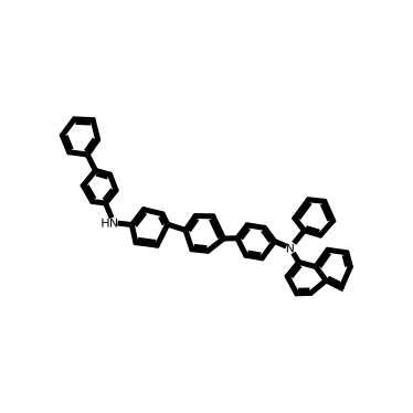 c1ccc(-c2ccc(Nc3ccc(-c4ccc(-c5ccc(N(c6ccccc6)c6cccc7ccccc67)cc5)cc4)cc3)cc2)cc1